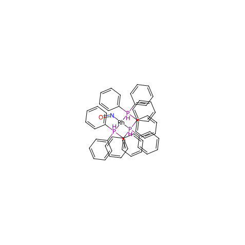 O=[N][Rh]([PH](c1ccccc1)(c1ccccc1)c1ccccc1)([PH](c1ccccc1)(c1ccccc1)c1ccccc1)[PH](c1ccccc1)(c1ccccc1)c1ccccc1